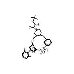 Cc1cccc(C)c1-c1cc2nc(n1)NS(=O)(=O)c1cccc(c1)CC1CCN(C(=O)NCC(C)(C)C)CC1CO2